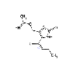 CC/C=C(/Cl)c1[nH]c(=O)sc1COC(C)=N